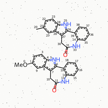 COc1ccc2[nH]c3c(c2c1)CC(=O)Nc1ccccc1-3.Cc1ccc2[nH]c3c(c2c1)CC(=O)Nc1ccccc1-3